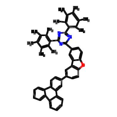 Bc1c(B)c(B)c(-c2nc(-c3ccc4oc5ccc(-c6ccc7c8ccccc8c8ccccc8c7c6)cc5c4c3)nc(-c3c(B)c(B)c(B)c(B)c3B)n2)c(B)c1B